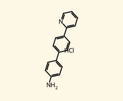 Cl.Nc1ccc(-c2ccc(-c3ccccn3)cc2)cc1